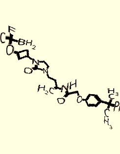 BC(C)(F)OC1CC(N2CCN(CCC(=C)NC(=O)COc3ccc(C(C)(C)P)cc3)C2=O)C1